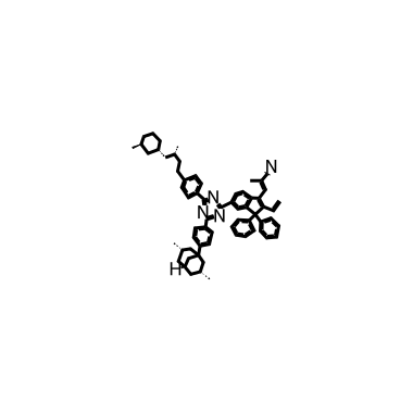 C=CC1=C(/C=C(\C)C#N)c2ccc(-c3nc(-c4ccc(CC[C@@H](C)C[C@H]5CCC[C@H](C)C5)cc4)nc(-c4ccc(C56C[C@H](C)C[C@H](C[C@H](C)C5)C6)cc4)n3)cc2C1(c1ccccc1)c1ccccc1